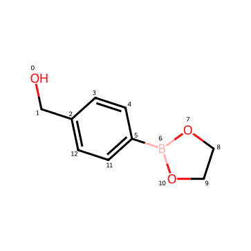 OCc1ccc(B2OCCO2)cc1